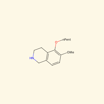 CCCCCOc1c(OC)ccc2c1CCNC2